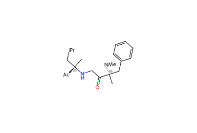 CN[C@@](C)(Cc1ccccc1)C(=O)CN[C@@](C)(CC(C)C)C(C)=O